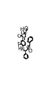 O=C(OCc1ccccc1)C(Nc1ccc(N2C[C@H](CO)OC2=O)cc1F)c1ccccc1